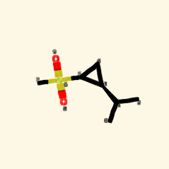 CC(C)[C@@H]1CC1S(C)(=O)=O